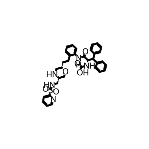 O=C(O)N[C@H](C(=O)Nc1ccccc1CC[C@@H]1CN[C@H](CNS(=O)(=O)c2ccccn2)CO1)C(c1ccccc1)c1ccccc1